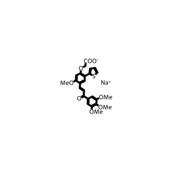 COc1cc(OCC(=O)[O-])c(-c2cccs2)cc1C=CC(=O)c1cc(OC)c(OC)c(OC)c1.[Na+]